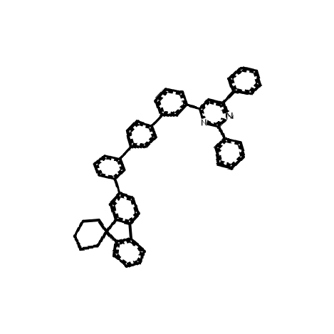 c1ccc(-c2cc(-c3cccc(-c4ccc(-c5cccc(-c6ccc7c(c6)C6(CCCCC6)c6ccccc6-7)c5)cc4)c3)nc(-c3ccccc3)n2)cc1